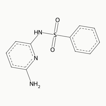 Nc1cccc(NS(=O)(=O)c2ccccc2)n1